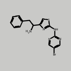 NC(Cc1ccccc1)c1csc(Nc2ncc(Br)cn2)n1